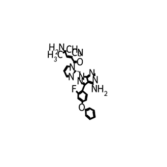 CC(C)(N)C=C(C#N)C(=O)N1C=CC=N[C@H]1Cn1nc(-c2ccc(Oc3ccccc3)cc2F)c2c(N)ncnc21